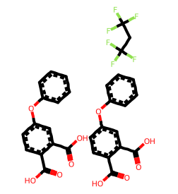 FC(F)(F)CC(F)(F)F.O=C(O)c1ccc(Oc2ccccc2)cc1C(=O)O.O=C(O)c1ccc(Oc2ccccc2)cc1C(=O)O